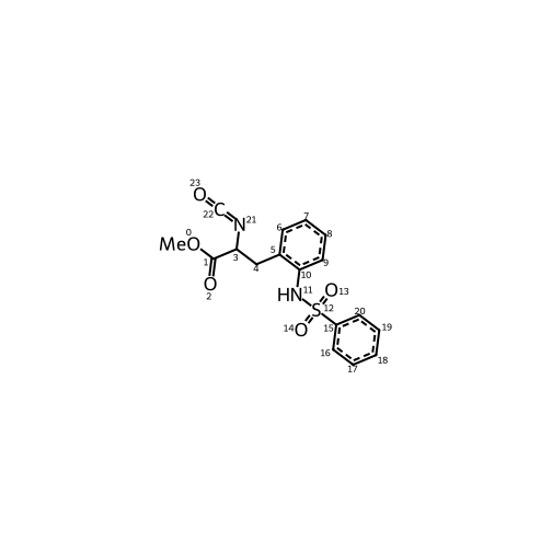 COC(=O)C(Cc1ccccc1NS(=O)(=O)c1ccccc1)N=C=O